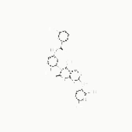 Cc1ccc(Nc2ncc3c(C)n(-c4cc(NC(=O)c5cccc(C(F)(F)F)c5)ccc4C)c(=O)nc3n2)c(C)n1